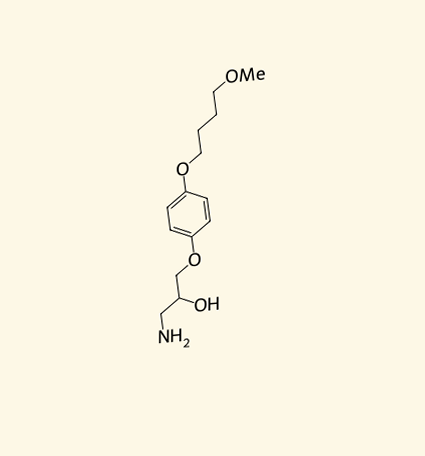 COCCCCOc1ccc(OCC(O)CN)cc1